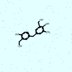 Cc1cc(Cc2ccc(O)c(CO)c2)cc(CO)c1O